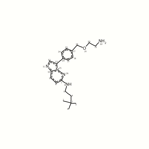 CC(C)(C)CCNc1ccc2ncc(-c3ccc(COCCN)cc3)n2n1